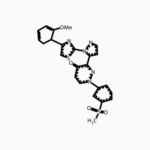 COC1=CC=CCC1c1csc(-n2nccc2-c2nn(-c3cccc(S(C)(=O)=O)c3)ccc2=O)n1